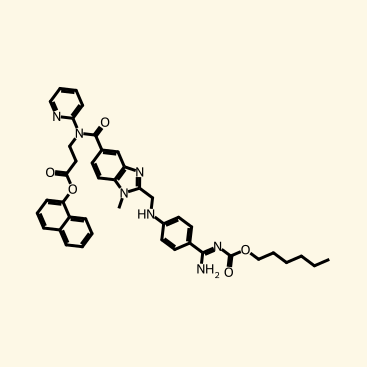 CCCCCCOC(=O)/N=C(\N)c1ccc(NCc2nc3cc(C(=O)N(CCC(=O)Oc4cccc5ccccc45)c4ccccn4)ccc3n2C)cc1